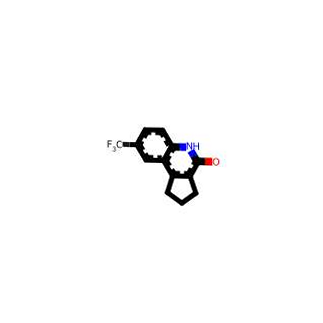 O=c1[nH]c2ccc(C(F)(F)F)cc2c2c1CCC2